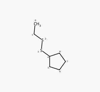 CCSSC1CCCC1